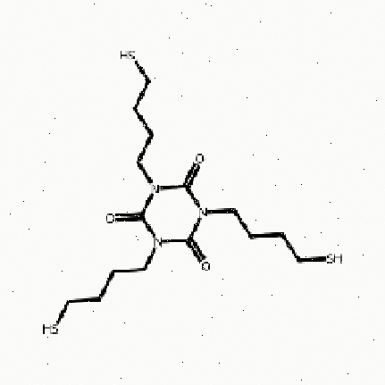 O=c1n(CCCCS)c(=O)n(CCCCS)c(=O)n1CCCCS